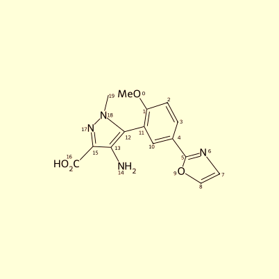 COc1ccc(-c2ncco2)cc1-c1c(N)c(C(=O)O)nn1C